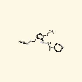 CSn1ccn(CCN=[N+]=[N-])/c1=N/NNc1ccccc1